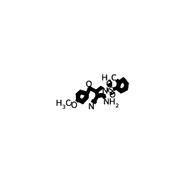 COc1ccc(C(=O)C2CN(S(=O)(=O)c3ccccc3C)C(N)=C2C#N)cc1